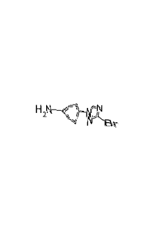 Nc1ccc(-n2cnc(Br)n2)cc1